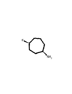 N[C@@H]1CCC[C@H](F)CC1